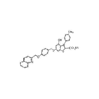 CCOC(=O)C1Oc2cc(OCc3ccc(OCc4ccc5ccccc5n4)cc3)cc(O)c2N1c1ccc(OC)cc1